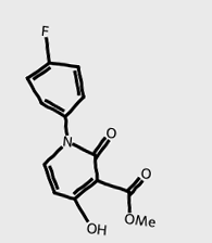 COC(=O)c1c(O)ccn(-c2ccc(F)cc2)c1=O